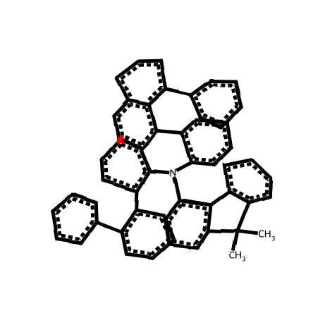 CC1(C)c2ccccc2-c2c(N(c3ccccc3-c3ccccc3-c3ccccc3)c3ccccc3-c3cccc4cccc(-c5ccccc5)c34)cccc21